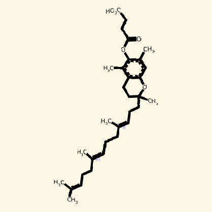 CC(C)=CCC/C(C)=C/CC/C(C)=C/CCC1(C)CCc2c(cc(C)c(OC(=O)CCC(=O)O)c2C)O1